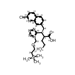 CCCC(C(=O)O)[C@H](Cc1ccc2ccc(Cl)nc2c1)c1nnnn1COCC[Si](C)(C)C